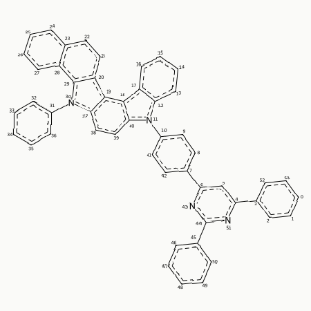 c1ccc(-c2cc(-c3ccc(-n4c5ccccc5c5c6c7ccc8ccccc8c7n(-c7ccccc7)c6ccc54)cc3)nc(-c3ccccc3)n2)cc1